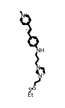 CCSSCC[n+]1ccn(CCCNc2ccc(/C=C/c3cc[n+](C)cc3)cc2)c1